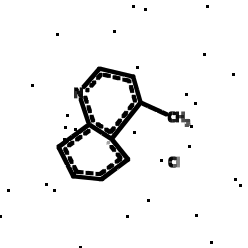 Cc1ccnc2ccccc12.[C]